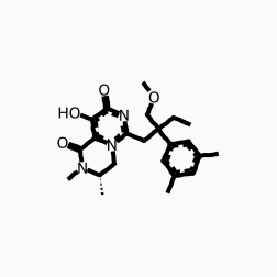 CCC(COC)(Cc1nc(=O)c(O)c2n1C[C@H](C)N(C)C2=O)c1cc(C)cc(C)c1